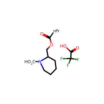 CCCC(=O)OCC1CCCCN1C(=O)O.O=C(O)C(F)(F)F